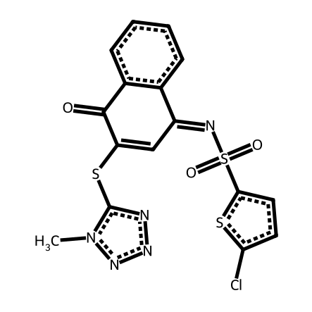 Cn1nnnc1SC1=CC(=NS(=O)(=O)c2ccc(Cl)s2)c2ccccc2C1=O